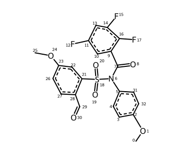 COc1ccc(N(C(=O)c2cc(F)cc(F)c2F)S(=O)(=O)c2cc(OC)ccc2C=O)cc1